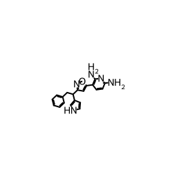 Nc1ccc(-c2cc(C(Cc3ccccc3)c3cc[nH]c3)no2)c(N)n1